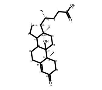 C[C@H](CCC(=O)O)[C@H]1CCC2C3CCC4=CC(=O)CC[C@]4(C)C3(O)CC[C@@]21C